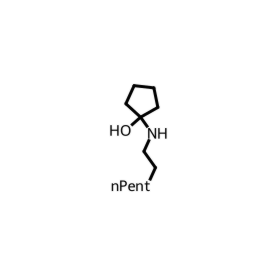 CCCCCCCNC1(O)CCCC1